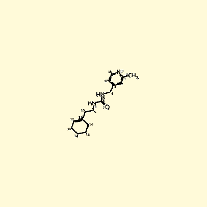 Cc1cc(CNC(=O)NCCC2=CCCCC2)ccn1